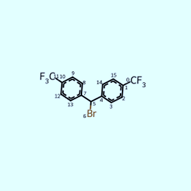 FC(F)(F)c1ccc(C(Br)c2ccc(C(F)(F)F)cc2)cc1